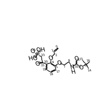 C=CCOc1c(OCCNC(=O)OC(C)(C)C)cccc1C(=O)CP(=O)(O)O